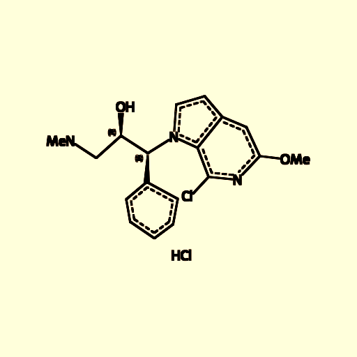 CNC[C@@H](O)[C@H](c1ccccc1)n1ccc2cc(OC)nc(Cl)c21.Cl